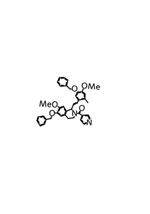 COc1cc(C)c(C=CC2c3cc(OC)c(OCc4ccccc4)cc3CCN2C(=O)c2ccncc2)cc1OCc1ccccc1